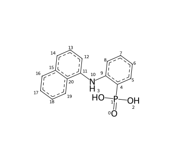 O=P(O)(O)c1ccccc1Nc1cccc2ccccc12